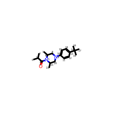 CC(C)C(=O)N1C(C)CN(c2ccc(C(C)(C)C)cc2)CC1C